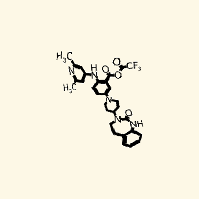 Cc1cc(Nc2ccc(N3CCC(N4CCc5ccccc5NC4=O)CC3)cc2C(=O)OC(=O)C(F)(F)F)cc(C)n1